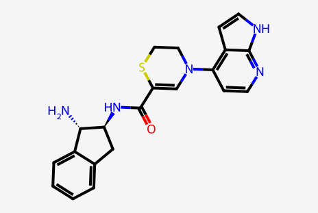 N[C@H]1c2ccccc2C[C@@H]1NC(=O)C1=CN(c2ccnc3[nH]ccc23)CCS1